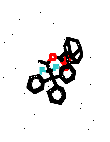 CC(OC(=O)C12CC3CC(C1)C(=O)C(C3)C2)C(F)(F)C(c1ccccc1)(c1ccccc1)c1ccccc1